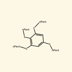 CCCCCSc1cc(SCCCCC)c(SCCCCC)c(SCCCCC)c1